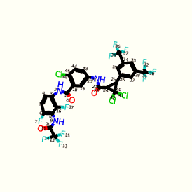 O=C(Nc1ccc(F)c(NC(=O)C(F)(F)F)c1F)c1cc(NC(=O)C2C(c3cc(C(F)(F)F)cc(C(F)(F)F)c3)C2(Cl)Cl)ccc1Cl